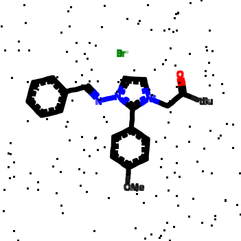 COc1ccc(-c2n(N=Cc3ccccc3)cc[n+]2CC(=O)C(C)(C)C)cc1.[Br-]